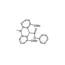 COc1cccc2c1C(C(=O)Oc1ccccc1)c1c(OC)cccc1N2C